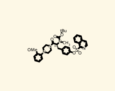 COc1ccccc1N1CCN(C(=O)[C@H](Cc2ccc(OS(=O)(=O)c3nccc4ccccc34)cc2)N(C)C(=O)OC(C)(C)C)CC1